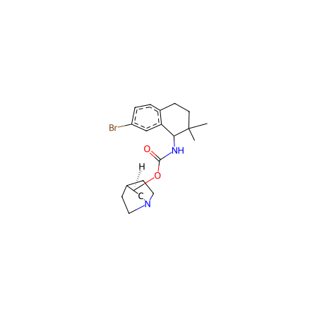 CC1(C)CCc2ccc(Br)cc2C1NC(=O)O[C@H]1CN2CCC1CC2